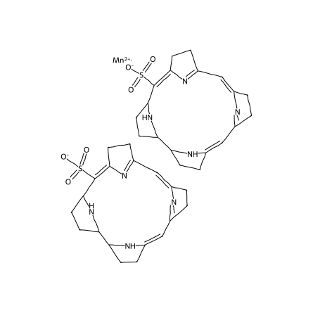 O=S(=O)([O-])C1=C2CCC(=N2)C=C2CCC(=N2)C=C2CCC(N2)C2CCC1N2.O=S(=O)([O-])C1=C2CCC(=N2)C=C2CCC(=N2)C=C2CCC(N2)C2CCC1N2.[Mn+2]